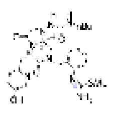 CCCCNC(=O)N(C(C)C)N1CC(=O)N2[C@@H](Cc3ccc(O)cn3)C(=O)N(Cc3ccccc3/N=C(/N)SC)C[C@@H]21